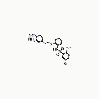 COc1ccc(Br)cc1S(=O)(=O)Nc1ccccc1SCCc1ccc(/C=N\N)cc1